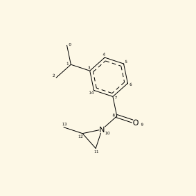 CC(C)c1cccc(C(=O)N2CC2C)c1